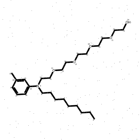 CCCCCCCCCN(CCOCCOCCOCCOCCO)c1cccc(C)c1